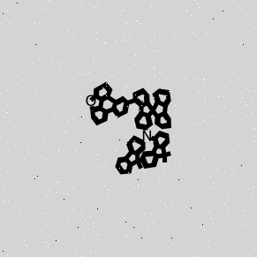 CC1(C)c2ccccc2-c2ccc(N(c3ccc4c(c3)C3(c5ccccc5-c5ccccc53)c3cccc(-c5ccc6c(c5)c5cccc7oc8cccc6c8c75)c3-4)c3cccc4c3-c3ccccc3C4(C)C)cc21